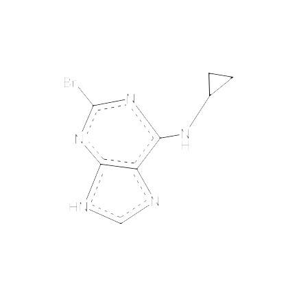 Brc1nc(NC2CC2)c2nc[nH]c2n1